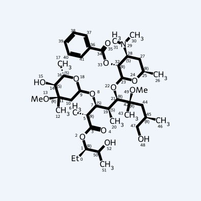 CC[C@@H](OC(=O)[C@H](C)[C@@H](OC1C[C@@](C)(OC)[C@@H](O)[C@H](C)O1)[C@H](C)[C@@H](OC1O[C@H](C)C[C@H](N(C)C)[C@H]1OC(=O)c1ccccc1)[C@@](C)(C[C@@H](C)CO)OC)C(C)O